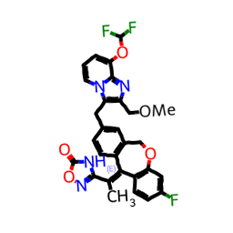 COCc1nc2c(OC(F)F)cccn2c1Cc1ccc2c(c1)COc1cc(F)ccc1/C2=C(\C)c1noc(=O)[nH]1